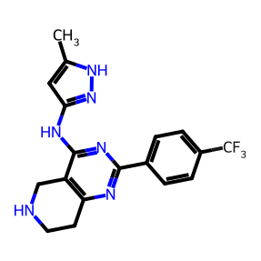 Cc1cc(Nc2nc(-c3ccc(C(F)(F)F)cc3)nc3c2CNCC3)n[nH]1